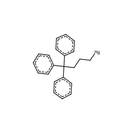 [Hg][CH2]CCC(c1ccccc1)(c1ccccc1)c1ccccc1